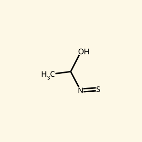 CC(O)N=S